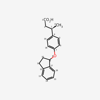 C[C@H](CC(=O)O)c1ccc(OC2CCc3ccccc32)cc1